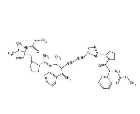 C=C(c1ccccc1)C(C#CC#Cc1cnc([C@@H]2CCCN2C(=O)[C@H](NC(=O)OC)c2ccccc2)[nH]1)C(C)/N=C(\N)[C@@H]1CCCN1C[C@@](C=O)(NC(=O)OC)C(C)C